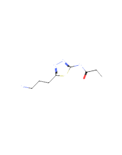 CCC(=O)Nc1nnc(CCCN)s1